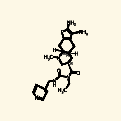 CCN(C(=O)NCc1ccncc1)C(=O)[C@@H]1C[C@@H]2Cc3c(sc(N)c3N)C[C@H]2N(C)C1